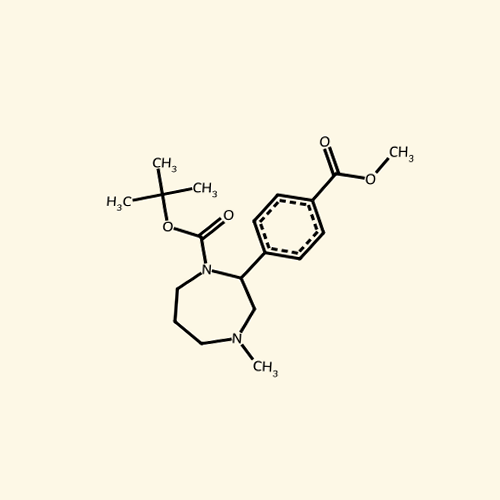 COC(=O)c1ccc(C2CN(C)CCCN2C(=O)OC(C)(C)C)cc1